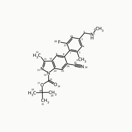 CNCc1cc(C)c(-c2cc3c(C)nn(C(=O)OC(C)(C)C)c3cc2C#N)c(F)c1